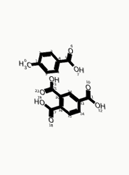 Cc1ccc(C(=O)O)cc1.O=C(O)c1ccc(C(=O)O)c(C(=O)O)c1